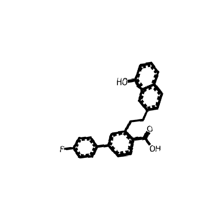 O=C(O)c1ccc(-c2ccc(F)cc2)cc1CCc1ccc2cccc(O)c2c1